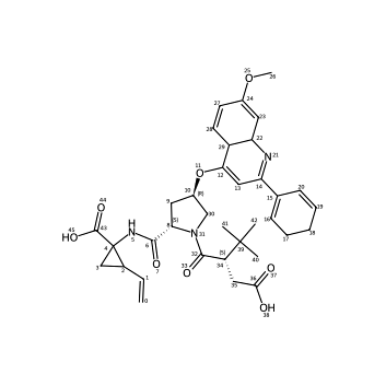 C=CC1CC1(NC(=O)[C@@H]1C[C@@H](OC2=CC(C3=CCCC=C3)=NC3C=C(OC)C=CC23)CN1C(=O)[C@@H](CC(=O)O)C(C)(C)C)C(=O)O